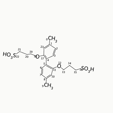 Cc1ccc(-c2ccc(C)cc2OCCCS(=O)(=O)O)c(OCCCS(=O)(=O)O)c1